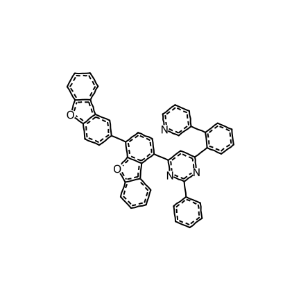 c1ccc(-c2nc(-c3ccccc3-c3cccnc3)cc(-c3ccc(-c4ccc5oc6ccccc6c5c4)c4oc5ccccc5c34)n2)cc1